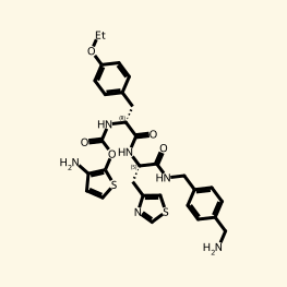 CCOc1ccc(C[C@@H](NC(=O)Oc2sccc2N)C(=O)N[C@@H](Cc2cscn2)C(=O)NCc2ccc(CN)cc2)cc1